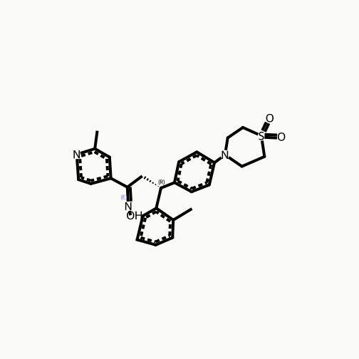 Cc1cc(/C(C[C@H](c2ccc(N3CCS(=O)(=O)CC3)cc2)c2ccccc2C)=N/O)ccn1